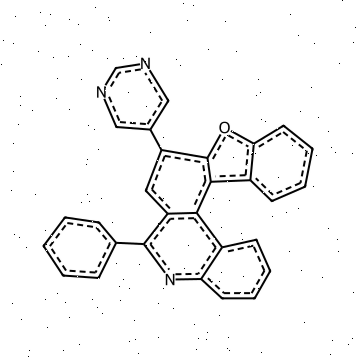 c1ccc(-c2nc3ccccc3c3c2cc(-c2cncnc2)c2oc4ccccc4c23)cc1